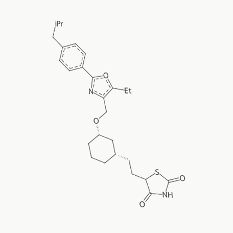 CCc1oc(-c2ccc(CC(C)C)cc2)nc1CO[C@H]1CCC[C@@H](CCC2SC(=O)NC2=O)C1